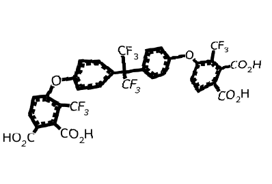 O=C(O)c1ccc(Oc2ccc(C(c3ccc(Oc4ccc(C(=O)O)c(C(=O)O)c4C(F)(F)F)cc3)(C(F)(F)F)C(F)(F)F)cc2)c(C(F)(F)F)c1C(=O)O